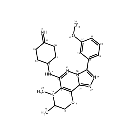 CC1COc2c(c(NC3CCC(=N)CC3)nn3c(-c4cccc(OC(F)(F)F)c4)nnc23)N1C